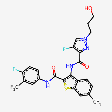 O=C(Nc1c(C(=O)Nc2ccc(F)c(C(F)(F)F)c2)sc2cc(C(F)(F)F)ccc12)c1nn(CCCO)cc1F